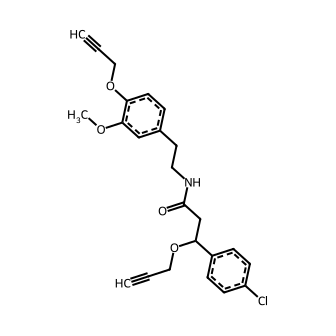 C#CCOc1ccc(CCNC(=O)CC(OCC#C)c2ccc(Cl)cc2)cc1OC